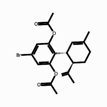 C=C(C)[C@@H]1CCC(C)=C[C@H]1c1c(OC(C)=O)cc(Br)cc1OC(C)=O